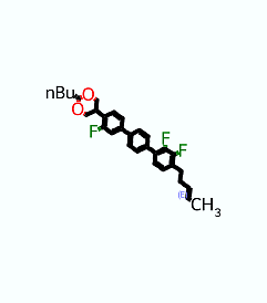 C/C=C/CCc1ccc(-c2ccc(-c3ccc(C4COC(CCCC)OC4)c(F)c3)cc2)c(F)c1F